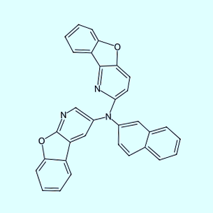 c1ccc2cc(N(c3cnc4oc5ccccc5c4c3)c3ccc4oc5ccccc5c4n3)ccc2c1